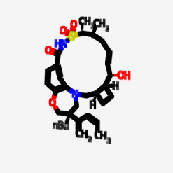 C=C(/C=C\C)[C@]1(CCCC)COc2ccc3cc2N(C[C@@H]2CC[C@H]2[C@@H](O)/C=C/C[C@H](C)[C@@H](C)S(=O)(=O)NC3=O)C1